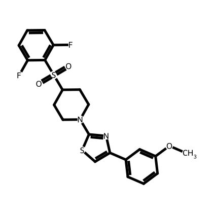 COc1cccc(-c2csc(N3CCC(S(=O)(=O)c4c(F)cccc4F)CC3)n2)c1